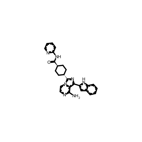 Nc1nccn2c1c(-c1cc3ccccc3[nH]1)nc2[C@H]1CC[C@H](C(=O)Nc2ccccn2)CC1